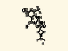 CCC(C)N1CC(S(=O)(=O)NC(=O)Nc2c(C(C)C)cc(Cl)cc2C(C)C)C1.[K]